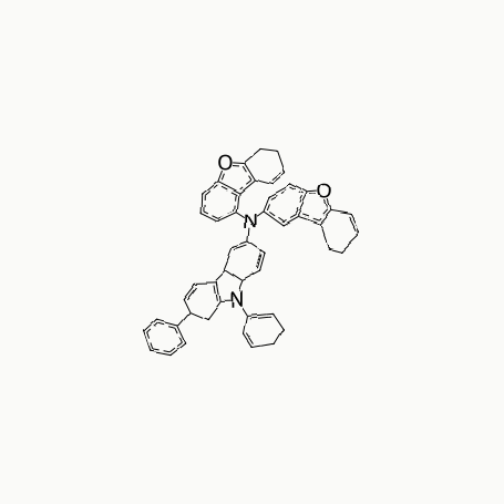 C1=CC(N2C3=C(C=CC(c4ccccc4)C3)C3C=C(N(c4ccc5oc6c(c5c4)CCC=C6)c4cccc5oc6c(c45)C=CCC6)C=CC32)=CCC1